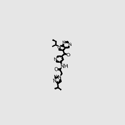 CCC(C)n1cc(C(=O)c2cncc(NC(=O)Cn3cc(C(C)C)nn3)c2)c2cncnc21